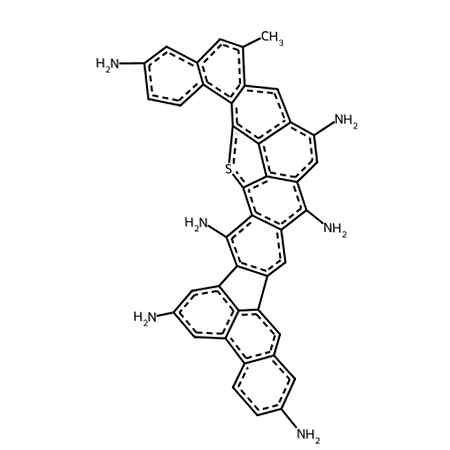 Cc1cc2cc(N)ccc2c2c1cc1c(N)cc3c(N)c4cc5c(c(N)c4c4sc2c1c34)-c1cc(N)cc2c1c-5cc1cc(N)ccc12